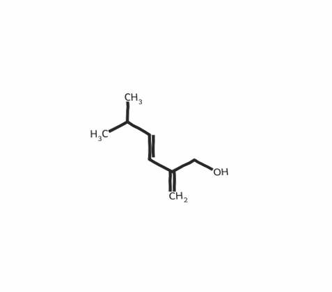 C=C(/C=C/C(C)C)CO